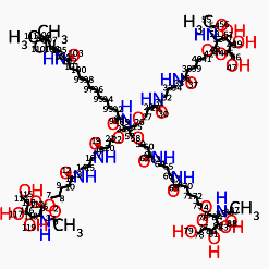 CC(=O)NC1C(OCCCCC(=O)NCCCNC(=O)CCOCC(COCCC(=O)NCCCNC(=O)CCCCOC2OC(CO)C(O)C(O)C2NC(C)=O)(COCCC(=O)NCCCNC(=O)CCCCOC2OC(CO)C(O)C(O)C2NC(C)=O)NC(=O)CCCCCCCCCCC(=O)NCCCC(C)(C)C)OC(CO)C(O)C1O